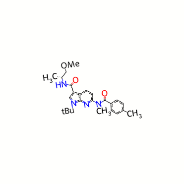 COC[C@@H](C)NC(=O)c1cn(C(C)(C)C)c2nc(N(C)C(=O)c3ccc(C)cc3)ccc12